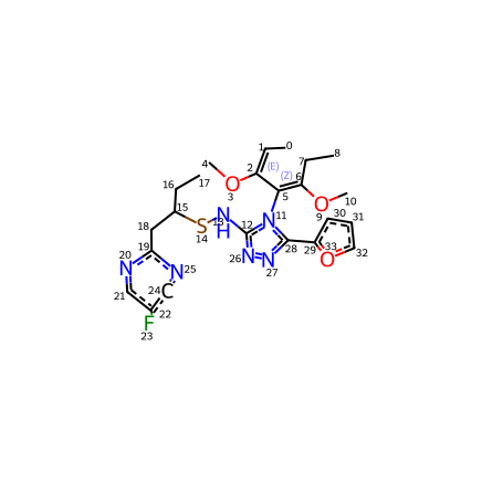 C/C=C(OC)\C(=C(/CC)OC)n1c(NSC(CC)Cc2ncc(F)cn2)nnc1-c1ccco1